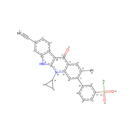 C#Cc1ccc2c(c1)[nH]c1c2c(=O)c2cc(C(C)C)c(-c3cccc(S(=O)(=O)F)c3)cc2n1C1CC1